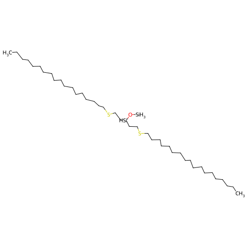 CCCCCCCCCCCCCCCCCCSCC[SiH](CCSCCCCCCCCCCCCCCCCCC)O[SiH3]